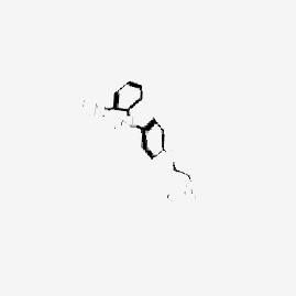 CN(C)CCOc1ccc(Nc2ccccc2N)cc1